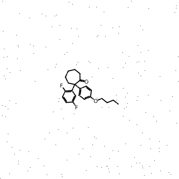 CCCCOc1ccc(C2(c3cc(F)ccc3F)CCCCCC2=O)cc1